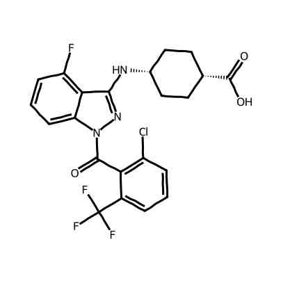 O=C(c1c(Cl)cccc1C(F)(F)F)n1nc(N[C@H]2CC[C@@H](C(=O)O)CC2)c2c(F)cccc21